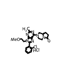 COCCn1c(-c2ccccc2Cl)nc2c(N3CCN4C(=O)CCC4C3)nc(C)nc21.Cl